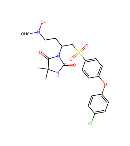 CC1(C)NC(=O)N(C(CCN(O)C=O)CS(=O)(=O)c2ccc(Oc3ccc(Cl)cc3)cc2)C1=O